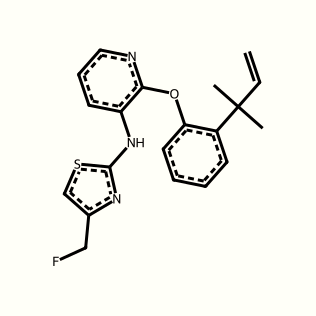 C=CC(C)(C)c1ccccc1Oc1ncccc1Nc1nc(CF)cs1